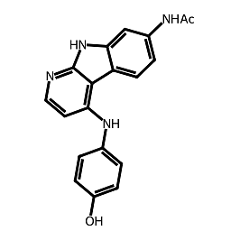 CC(=O)Nc1ccc2c(c1)[nH]c1nccc(Nc3ccc(O)cc3)c12